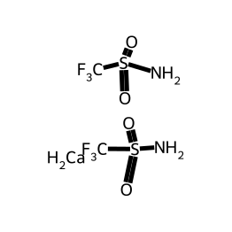 NS(=O)(=O)C(F)(F)F.NS(=O)(=O)C(F)(F)F.[CaH2]